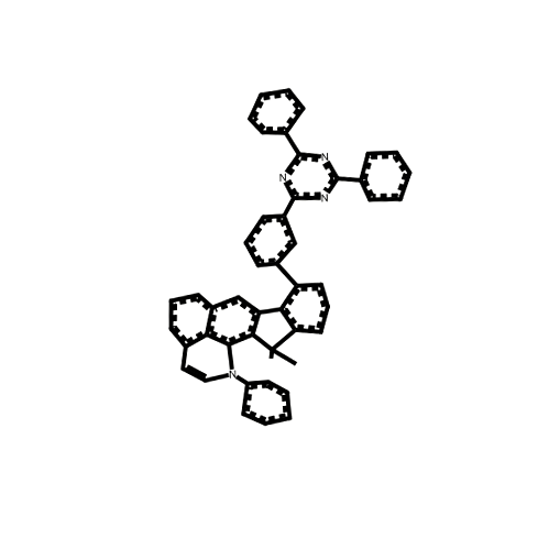 CC1(C)c2cccc(-c3cccc(-c4nc(-c5ccccc5)nc(-c5ccccc5)n4)c3)c2-c2cc3cccc4c3c(c21)N(c1ccccc1)C=C4